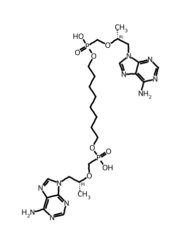 C[C@H](Cn1cnc2c(N)ncnc21)OCP(=O)(O)OCCCCCCCCOP(=O)(O)CO[C@H](C)Cn1cnc2c(N)ncnc21